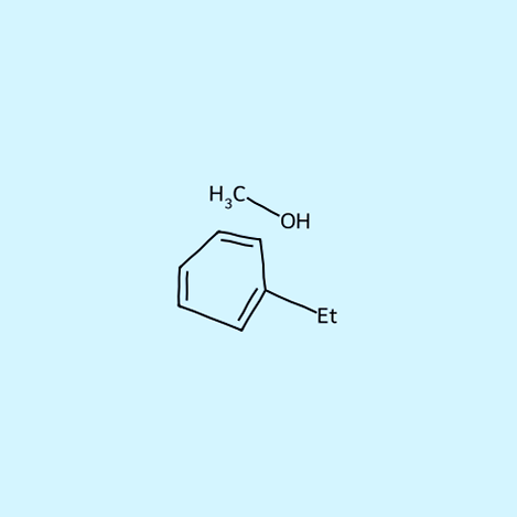 CCc1ccccc1.CO